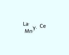 [Ce].[La].[Mn].[Y]